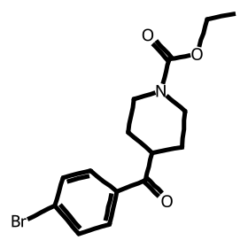 CCOC(=O)N1CCC(C(=O)c2ccc(Br)cc2)CC1